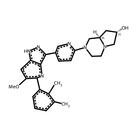 COc1cc2[nH]nc(-c3ccc(N4CCN5C[C@@H](O)C[C@@H]5C4)nc3)c2nc1-c1cccc(C)c1C